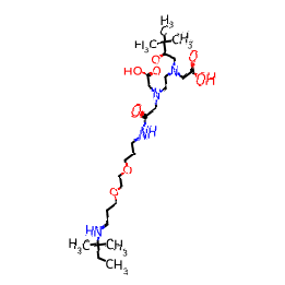 CCC(C)(C)NCCCOCCOCCCNC(=O)CN(CCN(CC(=O)O)CC(=O)C(C)(C)C)CC(=O)O